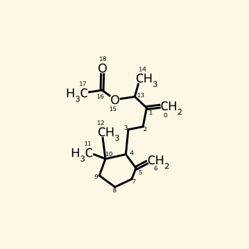 C=C(CCC1C(=C)CCCC1(C)C)C(C)OC(C)=O